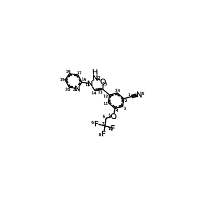 N#Cc1cc(OCC(F)(F)F)cc(C2=CN(c3ccccn3)NO2)c1